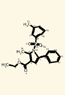 CCOC(=O)c1cc(-c2ccccc2)n(S(=O)(=O)c2cccc(C)c2)c1C